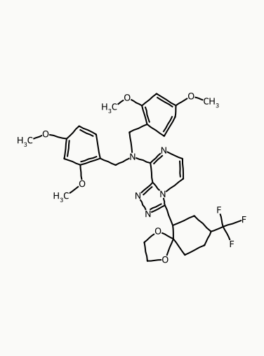 COc1ccc(CN(Cc2ccc(OC)cc2OC)c2nccn3c(C4CC(C(F)(F)F)CCC45OCCO5)nnc23)c(OC)c1